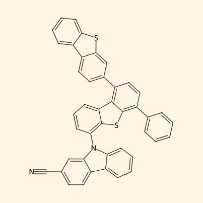 N#Cc1ccc2c3ccccc3n(-c3cccc4c3sc3c(-c5ccccc5)ccc(-c5ccc6c(c5)sc5ccccc56)c34)c2c1